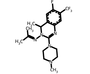 CC(C)=NN1C(N2CCN(C)CC2)=Nc2cc(C(F)(F)F)c(F)cc2C1C